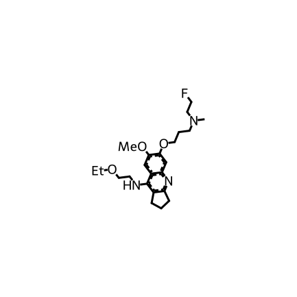 CCOCCNc1c2c(nc3cc(OCCCN(C)CCF)c(OC)cc13)CCC2